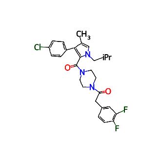 Cc1cn(CC(C)C)c(C(=O)N2CCN(C(=O)Cc3ccc(F)c(F)c3)CC2)c1-c1ccc(Cl)cc1